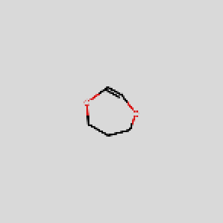 [C]1=COCCCO1